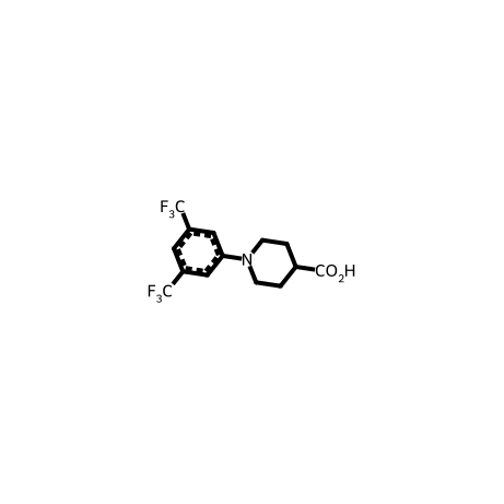 O=C(O)C1CCN(c2cc(C(F)(F)F)cc(C(F)(F)F)c2)CC1